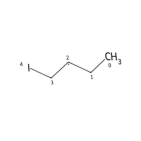 CC[CH]CI